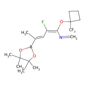 C=N/C(OC1(C(F)(F)F)CCC1)=C(F)\C=C(/C)B1OC(C)(C)C(C)(C)O1